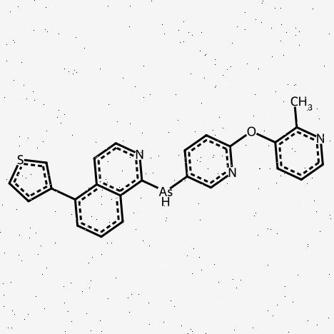 Cc1ncccc1Oc1ccc([AsH]c2nccc3c(-c4ccsc4)cccc23)cn1